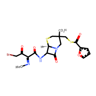 CON=C(C(=O)CBr)C(=O)NC1C(=O)N2CC(CSC(=O)c3ccco3)(C(=O)O)CS[C@H]12